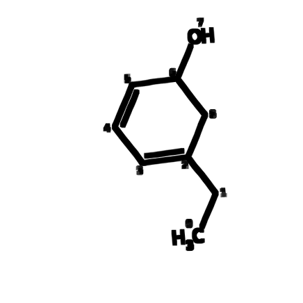 CCC1=CC=CC(O)C1